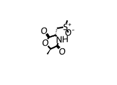 C[C@H]1OC(=O)[C@H](C[S+](C)[O-])NC1=O